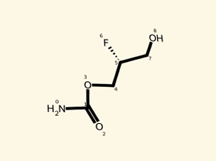 NC(=O)OC[C@H](F)CO